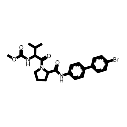 COC(=O)NC(C(=O)N1CCCC1C(=O)Nc1ccc(-c2ccc(Br)cc2)cc1)C(C)C